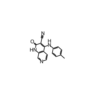 Cc1ccc(Nc2c(C#N)c(=O)[nH]c3cnccc23)cc1